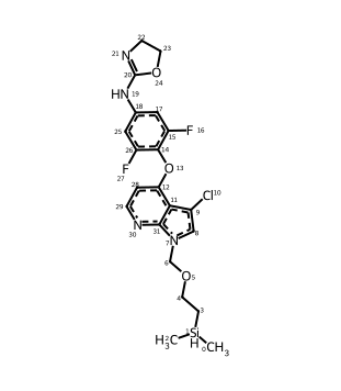 C[SiH](C)CCOCn1cc(Cl)c2c(Oc3c(F)cc(NC4=NCCO4)cc3F)ccnc21